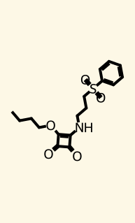 CCCCOc1c(NCCCS(=O)(=O)c2ccccc2)c(=O)c1=O